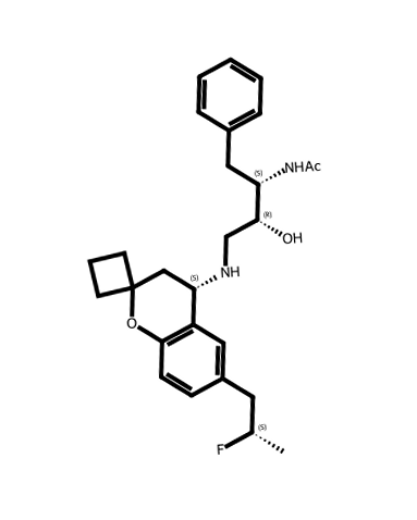 CC(=O)N[C@@H](Cc1ccccc1)[C@H](O)CN[C@H]1CC2(CCC2)Oc2ccc(C[C@H](C)F)cc21